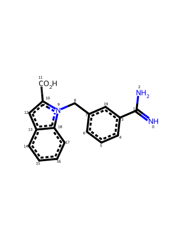 N=C(N)c1cccc(Cn2c(C(=O)O)cc3ccccc32)c1